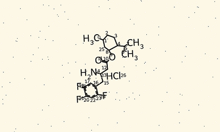 CC1CCC(C(C)C)C(OC(=O)CC(N)Cc2cc(F)c(F)cc2F)C1.Cl